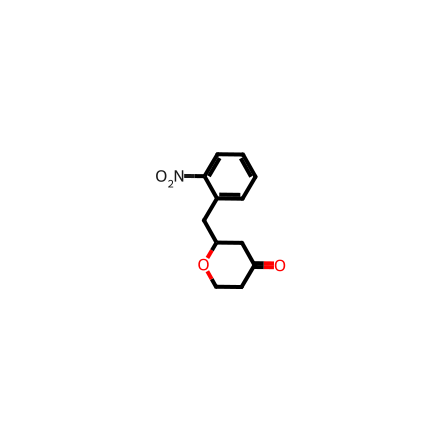 O=C1CCOC(Cc2ccccc2[N+](=O)[O-])C1